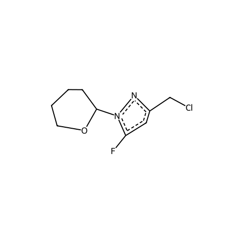 Fc1cc(CCl)nn1C1CCCCO1